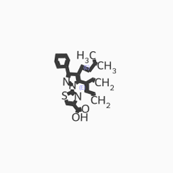 C=C/C=C(\C=C)c1c(/C=C/C(C)C)c(-c2ccccc2)nn1-c1nc(C(=O)O)cs1